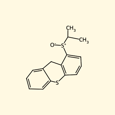 CC(C)[S+]([O-])c1cccc2c1Cc1ccccc1S2